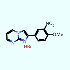 Br.COc1ccc(-c2cn3cccnc3n2)cc1[N+](=O)[O-]